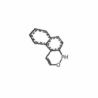 C1=Cc2c(ccc3ccccc23)PO1